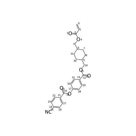 C=CC(=O)OCC1CCC(COC(=O)c2ccc(OC(=O)c3ccc(C#N)cc3)cc2)CC1